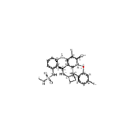 CNS(=O)(=O)Nc1cccc(Oc2c(C(=O)NC3CCC3)c(Nc3ccc(I)cc3F)n(C)c(=O)c2C)c1Cl